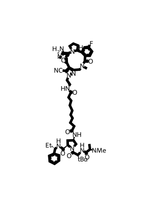 CC[C@H](NC(=O)[C@H]1C[C@@H](NC(=O)CCCCCCCCC(=O)NCCn2nc3c(c2C#N)-c2cnc(N)c(c2)N2CCC[C@@H]2c2cc(F)ccc2C(=O)N(C)C3)CN1C(=O)[C@H](NC(=O)[C@@H](C)NC)C(C)(C)C)c1ccccc1